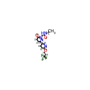 CCNC(=O)Cn1nc(-c2ccc(OCCC(F)(F)F)nc2)ccc1=O